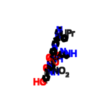 CC(C)c1ccccc1[C@@H]1CN(C)CCN1C1CC2(CCN(c3ccc(C(=O)NS(=O)(=O)c4cc([N+](=O)[O-])c5c(n4)OC[C@H]([C@H]4CC[C@](C)(O)CC4)N5)c(Oc4cnc5[nH]ccc5c4)c3)CC2)C1